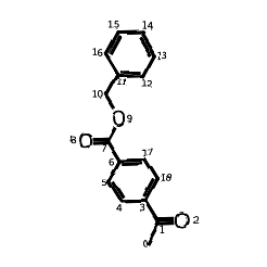 CC(=O)c1ccc(C(=O)OCc2ccccc2)cc1